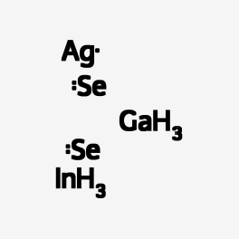 [Ag].[GaH3].[InH3].[Se].[Se]